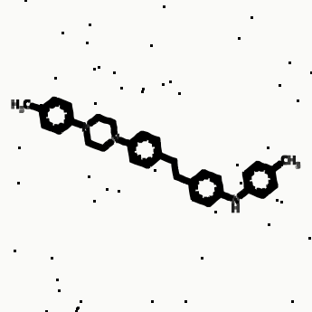 Cc1ccc(Nc2ccc(CCc3ccc(N4CCN(c5ccc(C)cc5)CC4)cc3)cc2)cc1